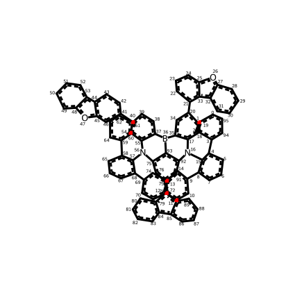 c1ccc(-c2cccc(-c3ccccc3)c2N2c3ccc(-c4cccc5oc6ccccc6c45)cc3B3c4ccc(-c5ccc6c(c5)oc5ccccc56)cc4N(c4c(-c5ccccc5)cccc4-c4ccccc4)c4cc(-n5c6ccccc6c6ccccc65)cc2c43)cc1